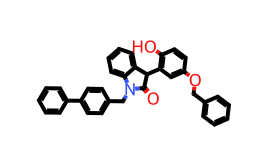 O=C1C(c2cc(OCc3ccccc3)ccc2O)c2ccccc2N1Cc1ccc(-c2ccccc2)cc1